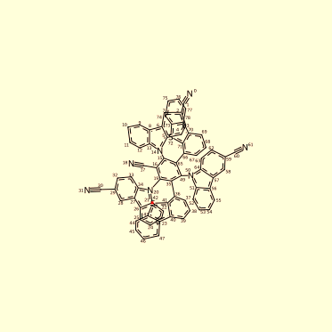 N#Cc1ccc2c(c1)c1ccccc1n2-c1c(C#N)c(-n2c3ccccc3c3cc(C#N)ccc32)c(-c2cccc3c2sc2ccccc23)c(-n2c3ccccc3c3cc(C#N)ccc32)c1-c1cccc2c1sc1ccccc12